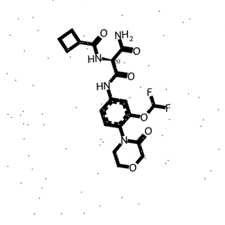 NC(=O)[C@H](NC(=O)C1CCC1)C(=O)Nc1ccc(N2CCOCC2=O)c(OC(F)F)c1